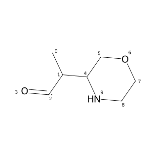 CC([C]=O)C1COCCN1